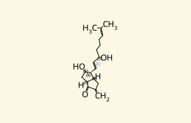 C=C1C[C@H]2[C@H](/C=C/[C@@H](O)CCCC=C(C)C)[C@H](O)C[C@@H]2C1=O